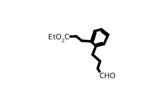 CCOC(=O)CCc1ccccc1CCCC=O